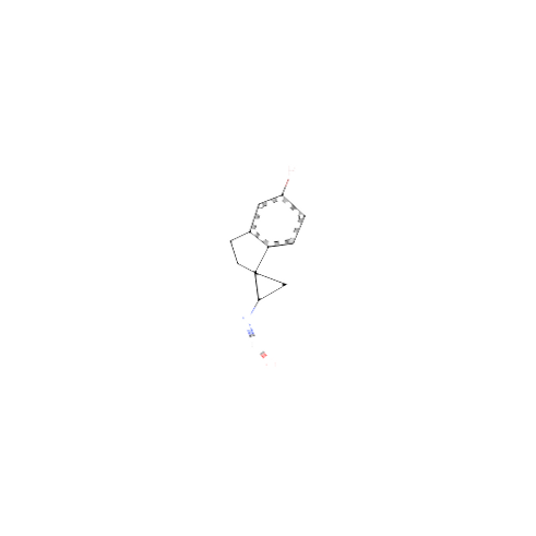 O=C=NC1CC12CCc1cc(Br)ccc12